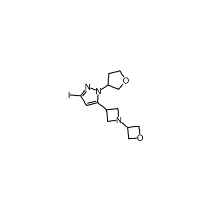 Ic1cc(C2CN(C3COC3)C2)n(C2CCOC2)n1